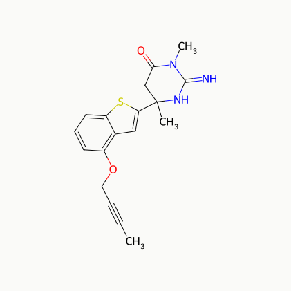 CC#CCOc1cccc2sc(C3(C)CC(=O)N(C)C(=N)N3)cc12